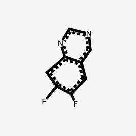 Fc1cc2[c]ncnc2cc1F